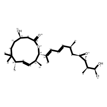 CC[C@H](O)[C@@H](C)[C@H]1O[C@@H]1C[C@H](C)/C=C/C=C(\C)[C@H]1OC(=O)C[C@H](O)CCC(C)(C)[C@@H](C)/C=C/[C@@H]1C